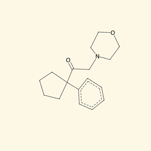 O=C(CN1CCOCC1)C1(c2ccccc2)CCCC1